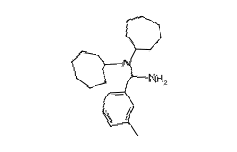 Cc1cccc(C(N)N(C2CCCCCC2)C2CCCCCC2)c1